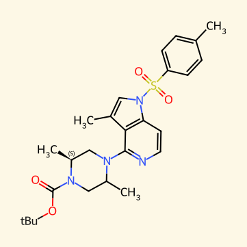 Cc1ccc(S(=O)(=O)n2cc(C)c3c(N4C[C@H](C)N(C(=O)OC(C)(C)C)CC4C)nccc32)cc1